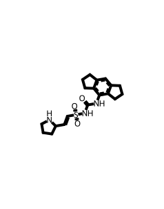 O=C(Nc1c2c(cc3c1CCC3)CCC2)NS(=O)(=O)/C=C/C1CCCN1